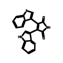 O=C1NC(=O)C(c2csc3ccccc23)=C1c1c[nH]c2ccccc12